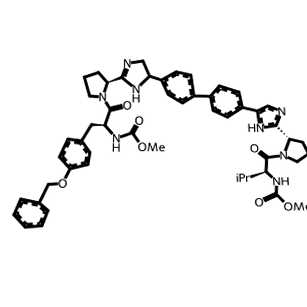 COC(=O)N[C@@H](Cc1ccc(OCc2ccccc2)cc1)C(=O)N1CCC[C@H]1C1=NCC(c2ccc(-c3ccc(-c4cnc([C@@H]5CCCN5C(=O)[C@@H](NC(=O)OC)C(C)C)[nH]4)cc3)cc2)N1